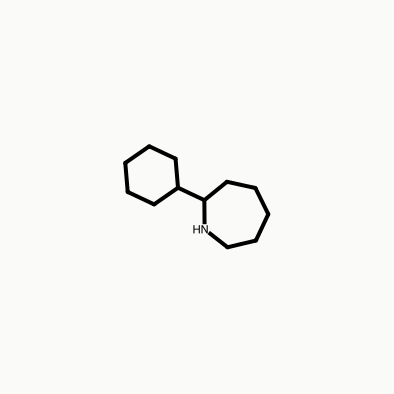 C1CCC(C2CCCCCN2)CC1